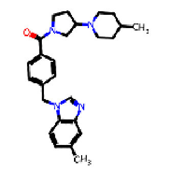 Cc1ccc2c(c1)ncn2Cc1ccc(C(=O)N2CCC(N3CCC(C)CC3)C2)cc1